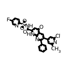 Cc1cc(-c2cc3c(=O)cc(C(=O)NS(=O)(=O)c4ccc(F)cn4)[nH]c3nc2-c2ccccc2)cc(Cl)n1